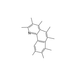 Cc1cc2c(c(C)c1C)c(C)c(C)c1c(C)c(C)c(C)nc12